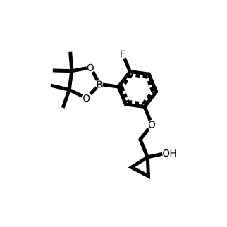 CC1(C)OB(c2cc(OCC3(O)CC3)ccc2F)OC1(C)C